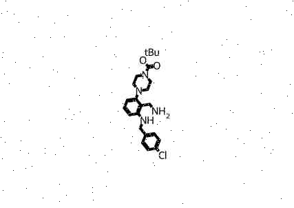 CC(C)(C)OC(=O)N1CCN(c2cccc(NCc3ccc(Cl)cc3)c2CN)CC1